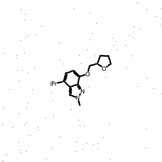 CC(C)c1ccc(OCC2CCCO2)c2nn(C)cc12